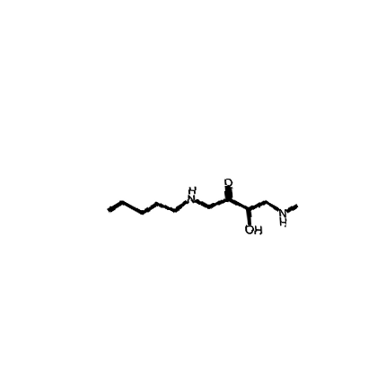 CCCCCNCC(=O)C(O)CNC